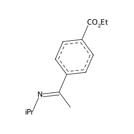 CCOC(=O)c1ccc(/C(C)=N/C(C)C)cc1